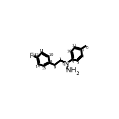 Cc1ccc(N(N)CCc2ccc(F)cc2)cc1